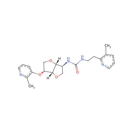 Cc1cccnc1CCNC(=O)N[C@H]1CO[C@H]2[C@@H]1OC[C@@H]2Oc1cccnc1C